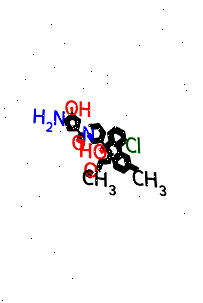 CCc1cccc(-c2c(Cl)cccc2C(O)(CCCCOC)[C@@H]2CCCN(C(=O)[C@H]3C[C@@H](N)[C@@H](O)C3)C2)c1